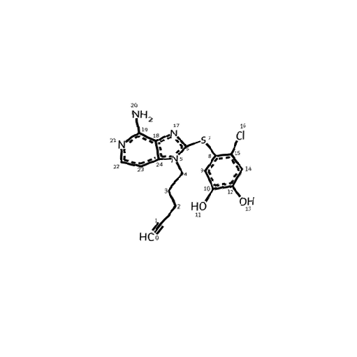 C#CCCCn1c(Sc2cc(O)c(O)cc2Cl)nc2c(N)nccc21